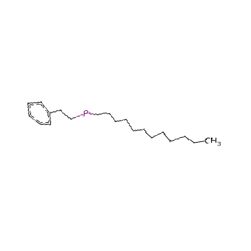 CCCCCCCCCCCC[P]CCc1ccccc1